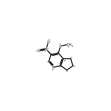 COc1c([N+](=O)[O-])cnc2c1CCC2